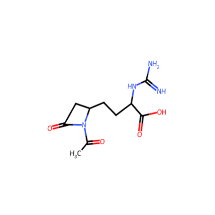 CC(=O)N1C(=O)CC1CCC(NC(=N)N)C(=O)O